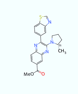 COC(=O)c1ccc2nc(-c3ccc4scnc4c3)c(N3CCC[C@@H]3C)nc2c1